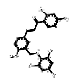 COc1ccc(/C=C/C(=O)c2ccc(O)cc2O)cc1COc1c(Br)cc(Br)cc1Br